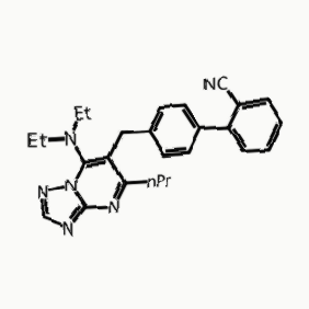 CCCc1nc2ncnn2c(N(CC)CC)c1Cc1ccc(-c2ccccc2C#N)cc1